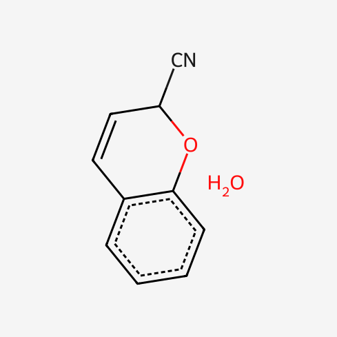 N#CC1C=Cc2ccccc2O1.O